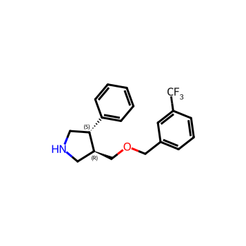 FC(F)(F)c1cccc(COC[C@H]2CNC[C@@H]2c2ccccc2)c1